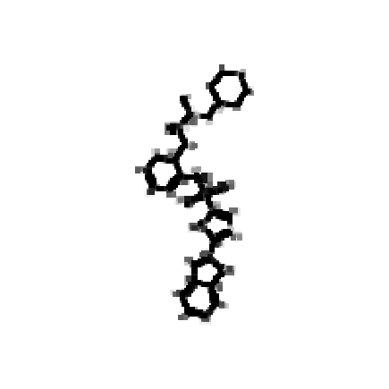 C[C@@H](CC1CCCCC1)NCc1ccccc1NS(=O)(=O)c1ccc(-c2cc3ccccc3s2)s1